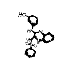 O=S(=O)(Nc1nc2ccccc2nc1Nc1cccc(O)c1)c1ccccc1